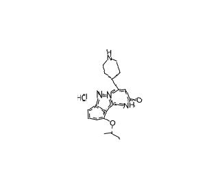 CC(C)Oc1cccc2nn3c(C4CCNCC4)cc(=O)[nH]c3c12.Cl